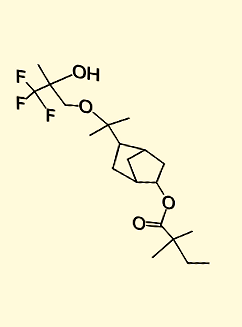 CCC(C)(C)C(=O)OC1CC2CC1CC2C(C)(C)OCC(C)(O)C(F)(F)F